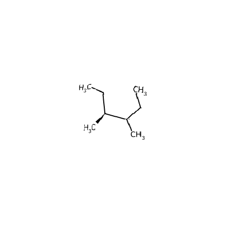 CC[C](C)[C@@H](C)CC